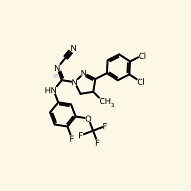 CC1CN(/C(=N\C#N)Nc2ccc(F)c(OC(F)(F)F)c2)N=C1c1ccc(Cl)c(Cl)c1